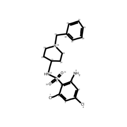 Nc1cc(Cl)cc(Cl)c1S(=O)(=O)NC1CCN(Cc2ccccc2)CC1